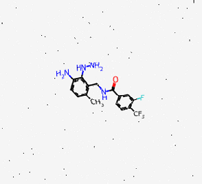 Cc1ccc(N)c(NN)c1CNC(=O)c1ccc(C(F)(F)F)c(F)c1